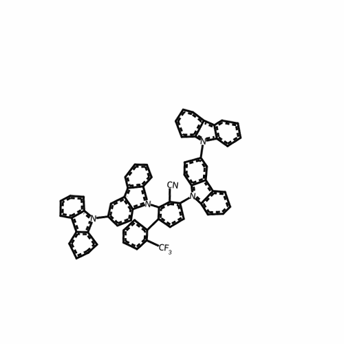 N#Cc1c(-n2c3ccccc3c3cc(-n4c5ccccc5c5ccccc54)ccc32)ccc(-c2ccccc2C(F)(F)F)c1-n1c2ccccc2c2cc(-n3c4ccccc4c4ccccc43)ccc21